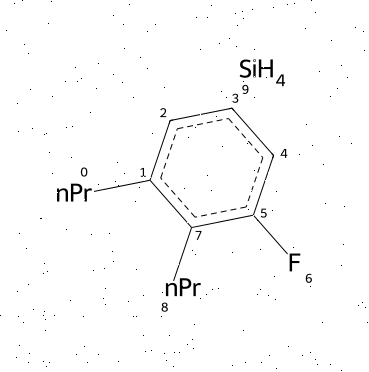 CCCc1cccc(F)c1CCC.[SiH4]